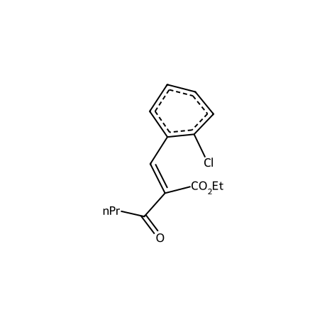 CCCC(=O)/C(=C/c1ccccc1Cl)C(=O)OCC